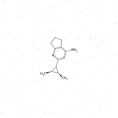 C[C@@H]1C(c2cc(N)c3c(n2)CCC3)[C@@H]1C